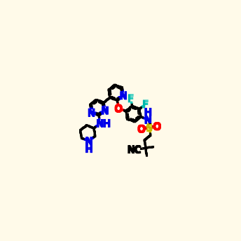 CC(C)(C#N)CCS(=O)(=O)Nc1ccc(Oc2ncccc2-c2ccnc(NC3CCCNC3)n2)c(F)c1F